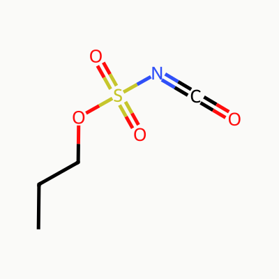 CCCOS(=O)(=O)N=C=O